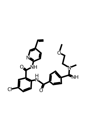 C=Cc1ccc(NC(=O)c2cc(Cl)ccc2NC(=O)c2ccc(C(=N)N(C)CCOC)cc2)nc1